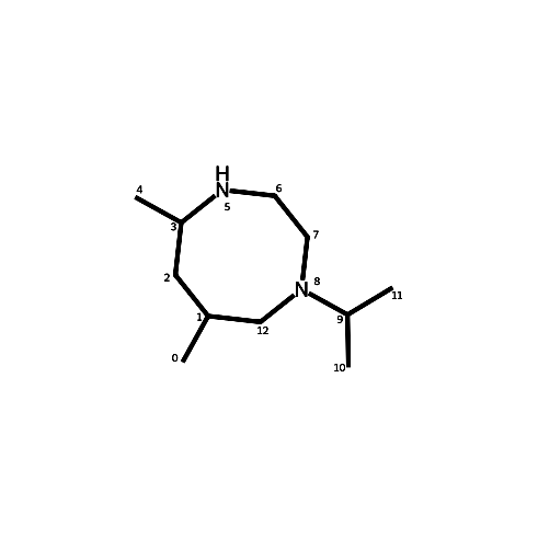 CC1CC(C)NCCN(C(C)C)C1